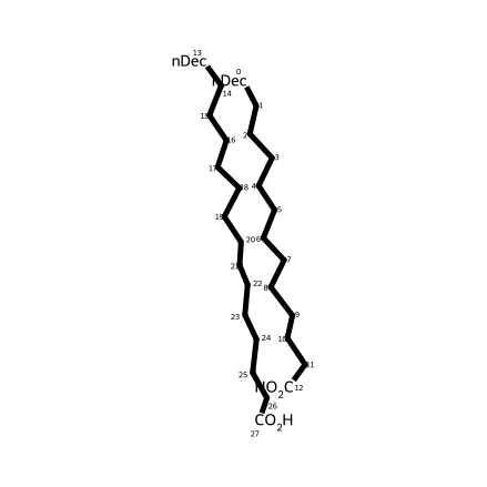 CCCCCCCCCCCCCCCCCCCCCC(=O)O.CCCCCCCCCCCCCCCCCCCCCCCC(=O)O